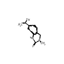 CC(C#N)c1ccc2c(c1)NC(=O)N(C)C2